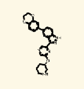 c1cc2c(cc1-c1ccc3[nH]nc(-c4cncc(O[C@@H]5CCCNC5)n4)c3c1)OCCO2